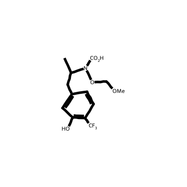 COCON(C(=O)O)C(C)Cc1ccc(C(F)(F)F)c(O)c1